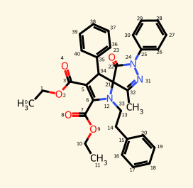 CCOC(=O)C1=C(C(=O)OCC)N(CCc2ccccc2)C2(C(=O)N(c3ccccc3)N=C2C)C1c1ccccc1